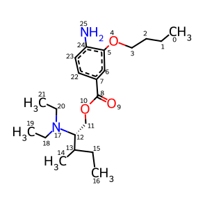 CCCCOc1cc(C(=O)OC[C@H](C(C)CC)N(CC)CC)ccc1N